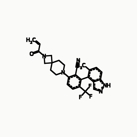 C=CC(=O)N1CC2(CCN(c3ccc(C(F)(F)F)c(-c4c(C)ccc5[nH]ncc45)c3C#N)CC2)C1